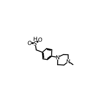 CN1CCN(c2ccc(C[SH](=O)=O)cc2)CC1